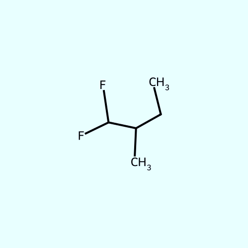 CCC(C)C(F)F